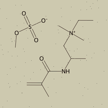 C=C(C)C(=O)NC(C)C[N+](C)(C)CC.COS(=O)(=O)[O-]